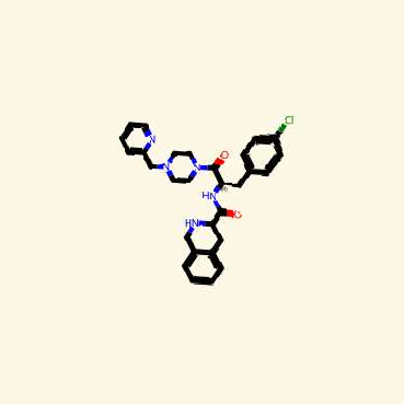 O=C(N[C@H](Cc1ccc(Cl)cc1)C(=O)N1CCN(Cc2ccccn2)CC1)C1Cc2ccccc2CN1